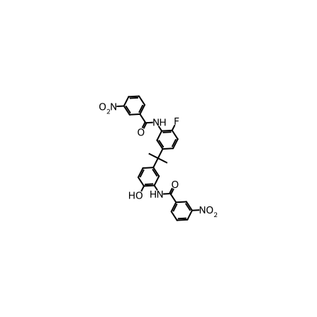 CC(C)(c1ccc(O)c(NC(=O)c2cccc([N+](=O)[O-])c2)c1)c1ccc(F)c(NC(=O)c2cccc([N+](=O)[O-])c2)c1